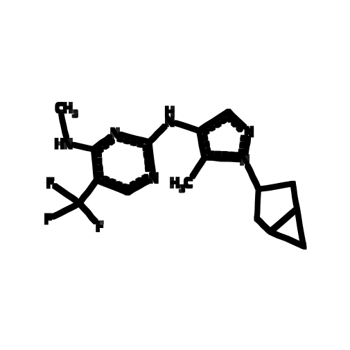 CNc1nc(Nc2cnn(C3CC4CC4C3)c2C)ncc1C(F)(F)F